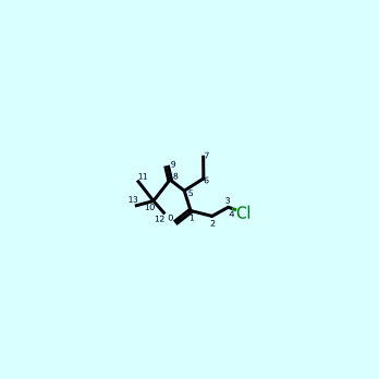 C=C(CCCl)C(CC)C(=C)C(C)(C)C